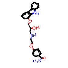 NC(=O)c1ccc(OCCNCC(O)COc2cccc3c2[nH]c2ccccc23)cc1